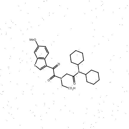 COc1ccc2c(C(=O)C(=O)N(CC(=O)O)CC(=O)N(C3CCCCC3)C3CCCCC3)csc2c1